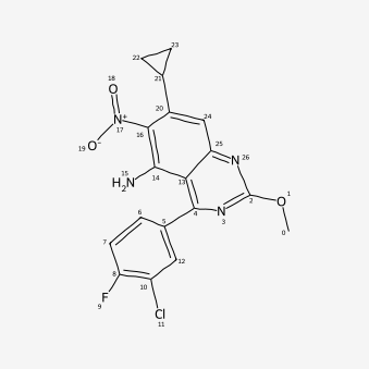 COc1nc(-c2ccc(F)c(Cl)c2)c2c(N)c([N+](=O)[O-])c(C3CC3)cc2n1